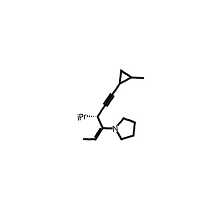 CC=C([C@@H](C#CC1CC1C)C(C)C)N1CCCC1